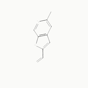 Cc1cc2cc(C=O)[nH]c2cn1